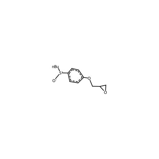 CCCC[S+]([O-])c1ccc(OCC2CO2)cc1